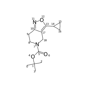 CC(C)(C)OC(=O)N1CCc2noc(C3CC3)c2C1